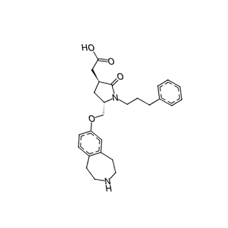 O=C(O)C[C@@H]1C[C@@H](COc2ccc3c(c2)CCNCC3)N(CCCc2ccccc2)C1=O